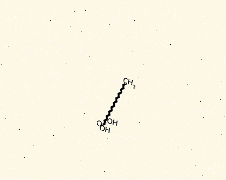 CCCCCCCCCCCCCCCCCC(O)C=CC(=O)O